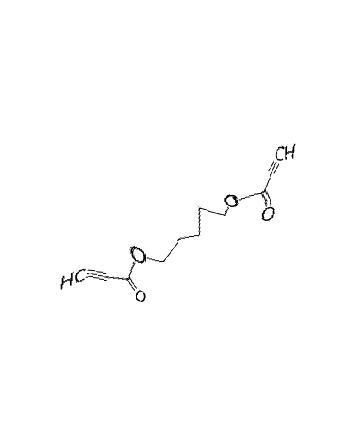 C#CC(=O)OCCCCCOC(=O)C#C